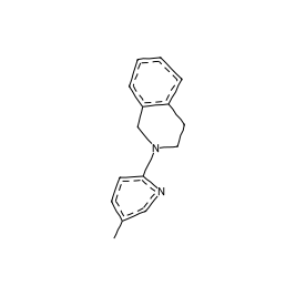 Cc1ccc(N2CCc3ccccc3C2)nc1